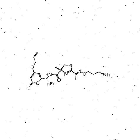 C=CCOc1cc([C@@H](CCC)NC(=O)[C@]2(C)CSC(/C(C)=N/OCCCN)=N2)oc(=O)c1